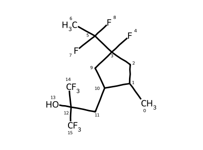 CC1CC(F)(C(C)(F)F)CC1CC(O)(C(F)(F)F)C(F)(F)F